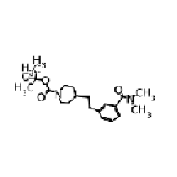 CN(C)C(=O)c1cccc(CCC2CCN(C(=O)OC(C)(C)C)CC2)c1